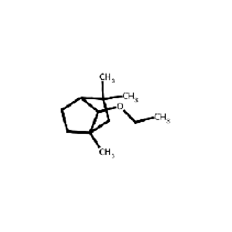 CCOC1C2CCC1(C)CC2(C)C